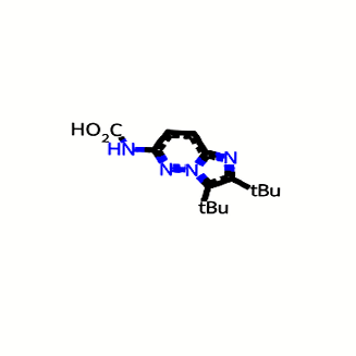 CC(C)(C)c1nc2ccc(NC(=O)O)nn2c1C(C)(C)C